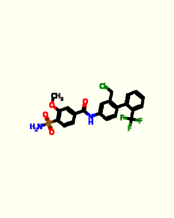 COc1cc(C(=O)Nc2ccc(-c3ccccc3C(F)(F)F)c(CCl)c2)ccc1S(N)(=O)=O